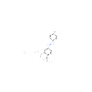 CCOC(=O)CC1CCC(C)(C)c2ccc(N=Nc3ccc(C(=O)O)cc3)cc21